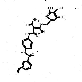 Cc1cc(CNc2[nH]nc(Nc3ccc(NC(=O)c4cccc(C=O)c4)cc3)c2C(N)=O)cc(C)c1O